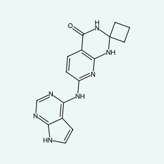 O=C1NC2(CCC2)Nc2nc(Nc3ncnc4[nH]ccc34)ccc21